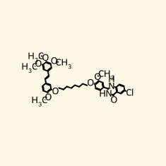 COc1cc(C2NC(=O)c3cc(Cl)ccc3N2)ccc1OCCCCCCCCOc1cc(C=Cc2cc(OC)c(OC)c(OC)c2)ccc1OC